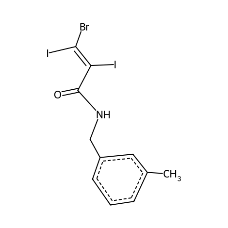 Cc1cccc(CNC(=O)/C(I)=C(/Br)I)c1